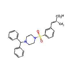 CC(=Cc1cccc(S(=O)(=O)N2CCN(C(c3ccccc3)c3ccccc3)CC2)c1)C(=O)O